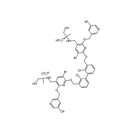 C[C@@](CO)(NCc1cc(Br)c(OCc2cccc(-c3cccc(COc4nc(OCc5cncc(C#N)c5)c(CN[C@@](C)(CO)C(=O)O)cc4Br)c3Cl)c2Cl)nc1OCc1cncc(C#N)c1)C(=O)O